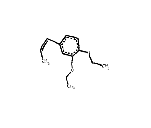 C/C=C\c1ccc(OCC)c(OCC)c1